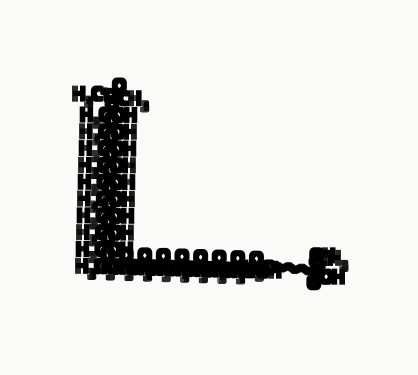 CC(=O)O.CC(=O)O.CC(=O)O.CC(=O)O.CC(=O)O.CC(=O)O.CC(=O)O.CC(=O)O.CC(=O)O.CC(=O)O.CC(=O)O.CC(=O)O.CC(=O)O.CC(=O)O.CC(=O)O.CC(=O)O.CC(=O)O.CC(=O)O.CCCCCCCC(CC)(CO)C(=O)O.CCOC(C)=O